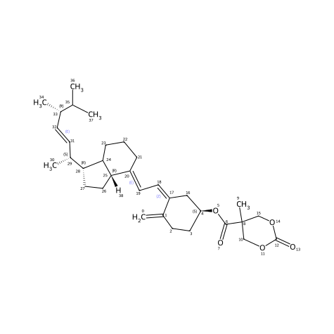 C=C1CC[C@H](OC(=O)C2(C)COC(=O)OC2)C/C1=C/C=C1\CCCC2[C@H]1CC[C@@H]2[C@H](C)/C=C/[C@H](C)C(C)C